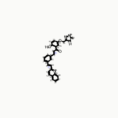 O=C(/C=C/c1cccc(/C=C/c2ccc3ccccc3n2)c1)c1cc(OCc2nnn[nH]2)ccc1O